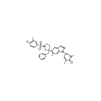 Cc1cc(S(=O)(=O)N2CCC(Cc3ccccc3)(c3cc4cnn(-c5cc(C)c(=O)n(C)c5)c4cc3C)C2)ccc1F